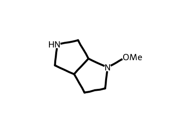 CON1CCC2CNCC21